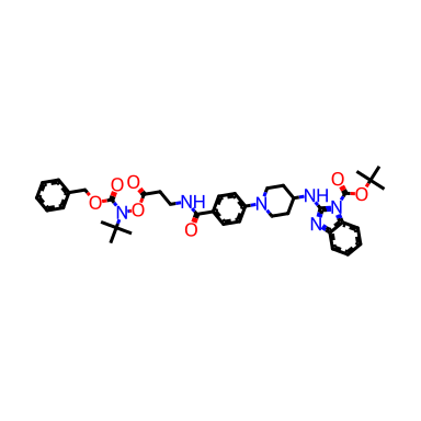 CC(C)(C)OC(=O)n1c(NC2CCN(c3ccc(C(=O)NCCC(=O)ON(C(=O)OCc4ccccc4)C(C)(C)C)cc3)CC2)nc2ccccc21